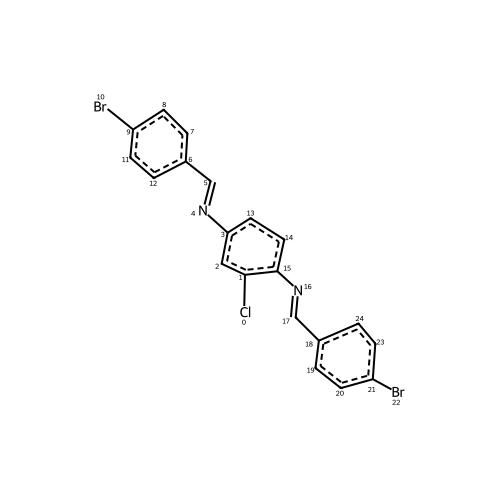 Clc1cc(N=Cc2ccc(Br)cc2)ccc1N=Cc1ccc(Br)cc1